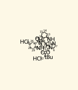 CC(C)(C)C(=O)OCn1ccnc1[C@H]1Nc2ccccc2[C@@H]2[C@H]1CCN2C(=O)[C@H]1CCCC[C@H]1N.Cl.Cl